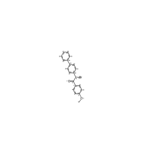 COc1ccc(C(=O)C(Br)c2ccc(-c3ccccc3)cc2)cc1